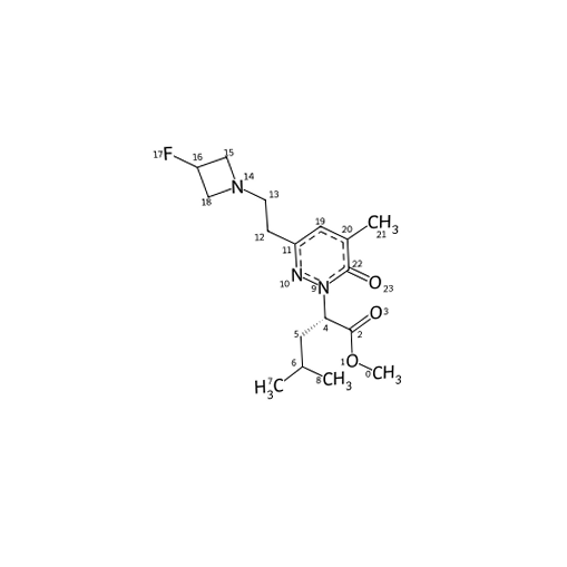 COC(=O)[C@H](CC(C)C)n1nc(CCN2CC(F)C2)cc(C)c1=O